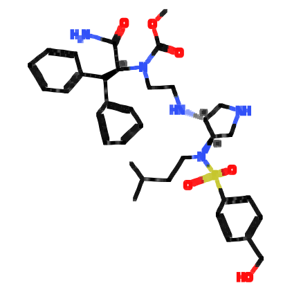 COC(=O)N(CCN[C@@H]1CNC[C@H]1N(CCC(C)C)S(=O)(=O)c1ccc(CO)cc1)[C@H](C(N)=O)C(c1ccccc1)c1ccccc1